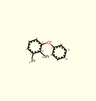 CC(C)c1cccc(Oc2ccccc2)c1C(C)C